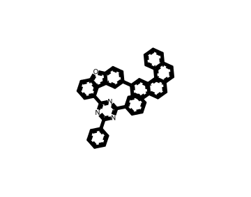 c1ccc(-c2nc(-c3ccccc3)nc(-c3cccc4oc5ccc(-c6ccc7ccc8ccc9ccccc9c8c7c6)cc5c34)n2)cc1